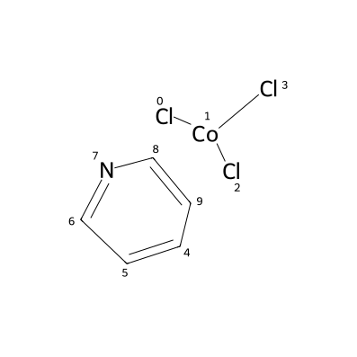 [Cl][Co]([Cl])[Cl].c1ccncc1